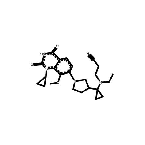 CCN(CCC#N)C1(C2CCN(c3ccc4c(=O)[nH]c(=O)n(C5CC5)c4c3OC)C2)CC1